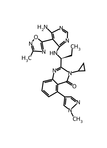 CC[C@H](Nc1ncnc(N)c1-c1nc(C)no1)c1nc2cccc(-c3cnn(C)c3)c2c(=O)n1C1CC1